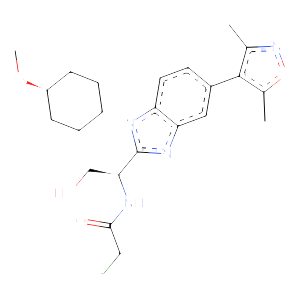 CO[C@H]1CC[C@H](n2c([C@H](CO)NC(=O)CCl)nc3cc(-c4c(C)noc4C)ccc32)CC1